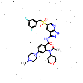 CN1CCN(c2ccc(C(=O)Nc3n[nH]c4ncc(S(=O)(=O)Cc5cc(F)cc(F)c5)cc34)c(N(C(=O)C(F)(F)F)C3CCOCC3)c2)CC1